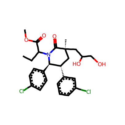 CCC(C(=O)OC)N1C(=O)[C@@](C)(CC(O)CO)C[C@H](c2cccc(Cl)c2)[C@H]1c1ccc(Cl)cc1